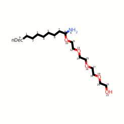 CCCCCCCCCCCCCCCCCC(N)OCCOCCOCCOCCO